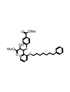 COC(=O)c1ccc(SC(c2ncccc2SCCCCCCCc2ccccc2)C(O)C(=O)OC)cc1